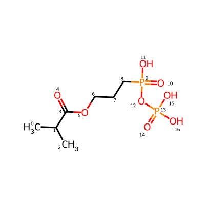 CC(C)C(=O)OCCCP(=O)(O)OP(=O)(O)O